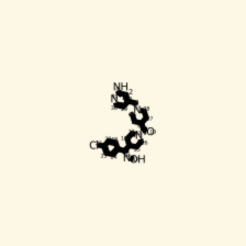 Nc1cc(CN2CCC(C(=O)N3CCC(/C(=N\O)c4ccc(Cl)cc4)CC3)CC2)ccn1